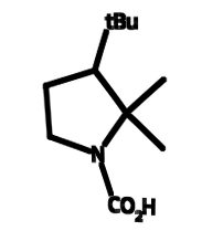 CC(C)(C)C1CCN(C(=O)O)C1(C)C